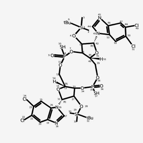 CC(C)(C)[Si](C)(C)OC1C2OP(=O)(S)OC[C@H]3O[C@@H](n4cnc5cc(Cl)c(Cl)cc54)C(O[Si](C)(C)C(C)(C)C)C3OP(=O)(S)OC[C@H]2O[C@H]1n1cnc2cc(Cl)c(Cl)cc21